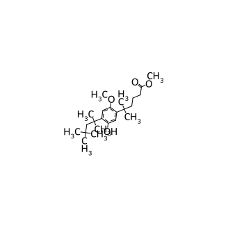 COC(=O)CCCC(C)(C)c1cc(O)c(C(C)(C)CC(C)(C)C)cc1OC